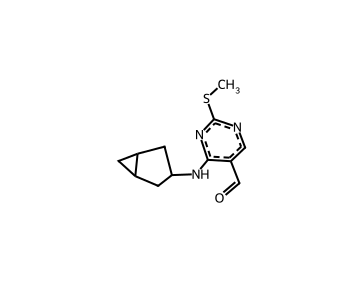 CSc1ncc(C=O)c(NC2CC3CC3C2)n1